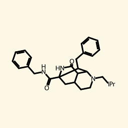 CC(C)CN1CCC2CC3(C(=O)NCc4ccccc4)NC(=O)C2C1C3Cc1ccccc1